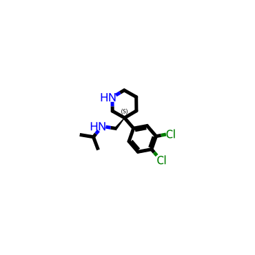 CC(C)NC[C@]1(c2ccc(Cl)c(Cl)c2)CCCNC1